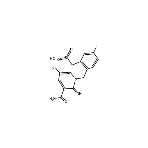 Cl.N=c1c(C(N)=O)cc(Cl)cn1Cc1ccc(F)cc1C[SH](=O)=O